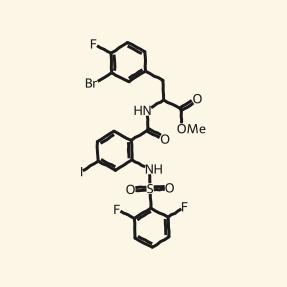 COC(=O)C(Cc1ccc(F)c(Br)c1)NC(=O)c1ccc(I)cc1NS(=O)(=O)c1c(F)cccc1F